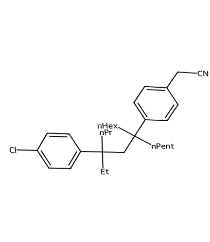 CCCCCCC(CCCCC)(CC(CC)(CCC)c1ccc(Cl)cc1)c1ccc(CC#N)cc1